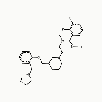 CC1CCC(COc2ccccc2CN2CCCC2)CN1CCN(C)C(=NO)c1cccc(F)c1F